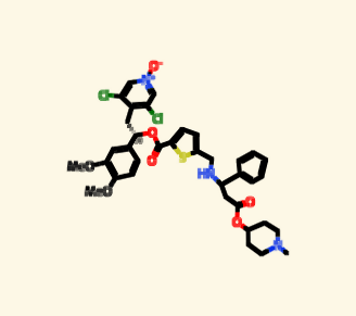 COc1ccc([C@H](Cc2c(Cl)c[n+]([O-])cc2Cl)OC(=O)c2ccc(CNC(CC(=O)OC3CCN(C)CC3)c3ccccc3)s2)cc1OC